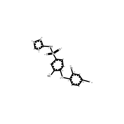 N#Cc1cc(S(=O)(=O)Nc2ncns2)ccc1Oc1ccc(F)cc1Br